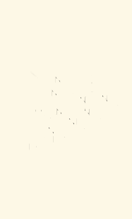 Cc1nn(Cc2ccccc2)c(N(N)C(N)=O)c1N(N)C(N)=O.Cl.Cl